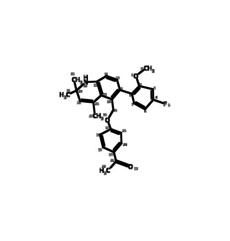 COc1cc(F)ccc1-c1ccc2c(c1COc1ccc(C(C)=O)cc1)C(C)=CC(C)(C)N2